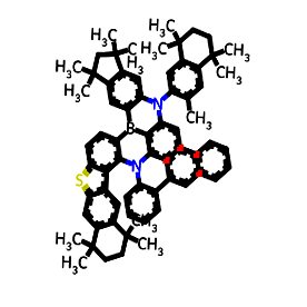 Cc1cc2c(cc1N1c3cc4c(cc3B3c5ccc6sc7cc8c(cc7c6c5N(c5ccccc5-c5ccccc5)c5cc(-c6ccccc6)cc1c53)C(C)(C)CCC8(C)C)C(C)(C)CC4(C)C)C(C)(C)CCC2(C)C